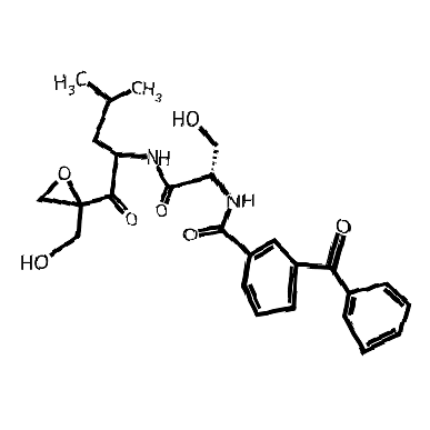 CC(C)CC(NC(=O)[C@H](CO)NC(=O)c1cccc(C(=O)c2ccccc2)c1)C(=O)C1(CO)CO1